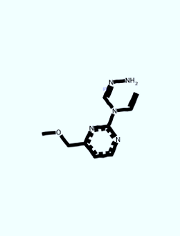 C=CN(/C=N\N)c1nccc(COC)n1